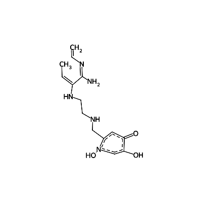 C=C/N=C(N)\C(=C/C)NCCNCc1cc(=O)c(O)cn1O